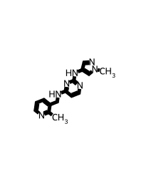 Cc1ncccc1CNc1ccnc(Nc2cnn(C)c2)n1